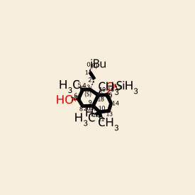 CC[C@@H](C)CC[C@H]1[C@@H](C)[C@H](O)C[C@H]2C(C)(C)CC[C@@H](O[SiH3])[C@]12C